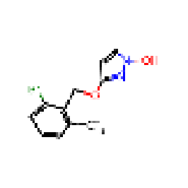 On1ccc(OCc2c(Br)cccc2C(F)(F)F)n1